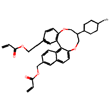 C=CC(=O)OCc1ccc2c3c(ccc2c1)OCC(C1CCC(CCC)CC1)COc1ccc2cc(COC(=O)C=C)ccc2c1-3